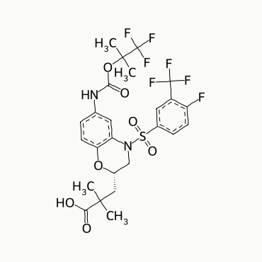 CC(C)(C[C@H]1CN(S(=O)(=O)c2ccc(F)c(C(F)(F)F)c2)c2cc(NC(=O)OC(C)(C)C(F)(F)F)ccc2O1)C(=O)O